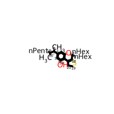 CCCCCCC1(CCCCCC)Oc2cc(C(C)C(C)CCCCC)cc(O)c2C2=C1SCC2